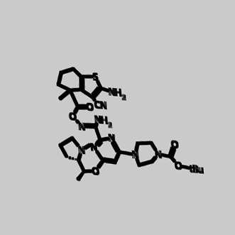 C[C@H](Oc1cc(N2CCN(C(=O)OC(C)(C)C)CC2)nc(/C(N)=N/OC(=O)C2(C)CCCc3sc(N)c(C#N)c32)n1)[C@@H]1CCCN1C